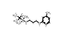 Cc1ccnc(OCCCO[Si](C)(C)C(C)(C)C)c1